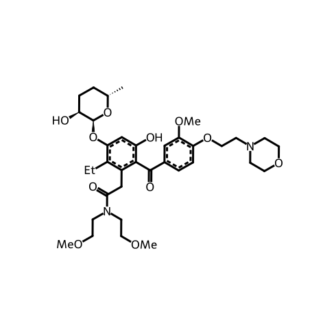 CCc1c(O[C@@H]2O[C@@H](C)CC[C@@H]2O)cc(O)c(C(=O)c2ccc(OCCN3CCOCC3)c(OC)c2)c1CC(=O)N(CCOC)CCOC